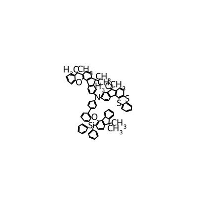 CC1(C)c2ccccc2Oc2c1ccc1c2-c2ccc(N(c3ccc(-c4cccc5c4Oc4c(ccc6c4-c4ccccc4C6(C)C)[Si]5(c4ccccc4)c4ccccc4)cc3)c3ccc4c(c3)C(C)(C)c3ccc5c(c3-4)Sc3ccccc3S5)cc2C1(C)C